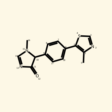 Cc1ncsc1-c1ccc(C2C(=O)N=CN2C)cc1